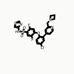 O=S(=O)(Nc1cscn1)c1cc(F)c(Oc2ccc(Cl)cc2-c2ccnc(CN3CCC3)c2)cc1F